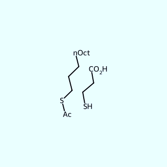 O=C(O)CCS.[CH2]CCCCCCCCCCSC(C)=O